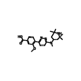 COc1cc(C(=O)O)ccc1-c1ccc(N(C)C2CC(C)(C)NC(C)(C)C2)nn1